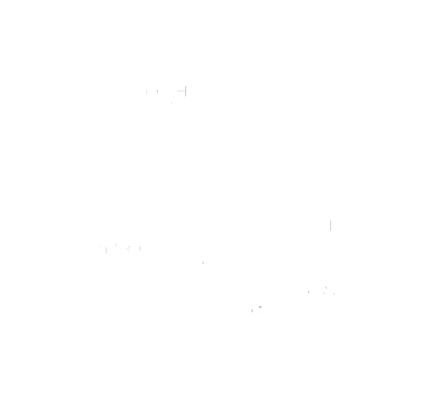 CCCCCC(CCCCC(=O)O)Oc1ccc(I)c(OC(C)=O)c1OC(C)=O